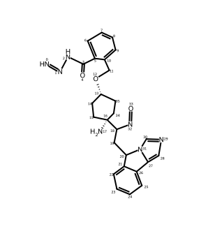 N=NNC(=O)c1ccccc1CO[C@H]1CC[C@](N)(C(CC2c3ccccc3-c3cncn32)N=O)CC1